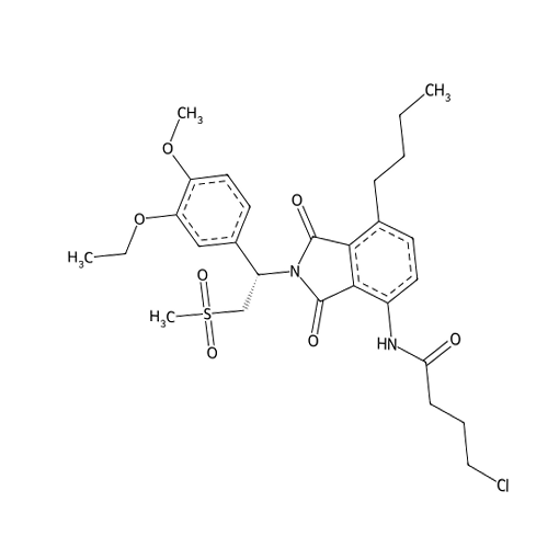 CCCCc1ccc(NC(=O)CCCCl)c2c1C(=O)N([C@H](CS(C)(=O)=O)c1ccc(OC)c(OCC)c1)C2=O